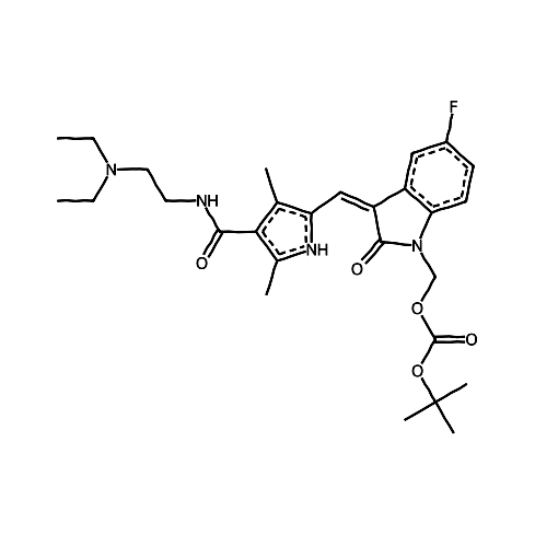 CCN(CC)CCNC(=O)c1c(C)[nH]c(/C=C2\C(=O)N(COC(=O)OC(C)(C)C)c3ccc(F)cc32)c1C